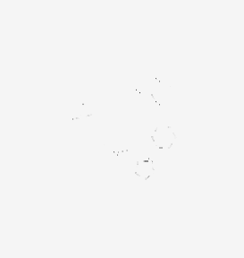 CO/N=C/c1cccn1-c1cccc(C(=O)N=C(N)N)c1.CS(=O)(=O)O